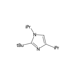 CC(C)c1cn(C(C)C)c(C(C)(C)C)n1